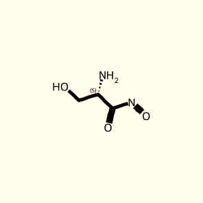 N[C@@H](CO)C(=O)N=O